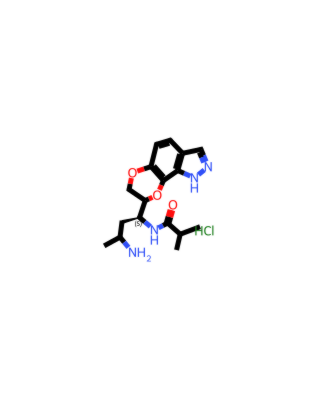 CC(N)C[C@H](NC(=O)C(C)C)C1COc2ccc3cn[nH]c3c2O1.Cl